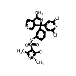 Cc1nn(C)c(Cl)c1S(=O)(=O)Oc1cccc(C2(c3cc(Cl)nc(Cl)c3)N=C(N)c3ccccc32)c1